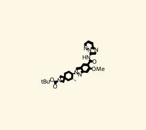 COc1cc2nn([C@@H]3CCC4(C[C@H]3C)CN(C(=O)OC(C)(C)C)C4)cc2cc1C(=O)Nc1cnc2cccnn12